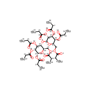 CC(C)(C)CC(=O)OC[C@H]1O[C@@H](O[C@H]2[C@H](OC(=O)CC(C)(C)C)[C@@H](OC(=O)CC(C)(C)C)[C@@H](OC(=O)CC(C)(C)C)O[C@@H]2COC(=O)CC(C)(C)C)[C@H](OC(=O)CC(C)(C)C)[C@@H](OC(=O)CC(C)(C)C)[C@H]1OC(=O)CC(C)(C)C